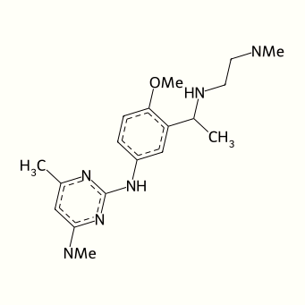 CNCCNC(C)c1cc(Nc2nc(C)cc(NC)n2)ccc1OC